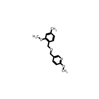 COc1ccc(COCc2ccc(C)cc2OC)cn1